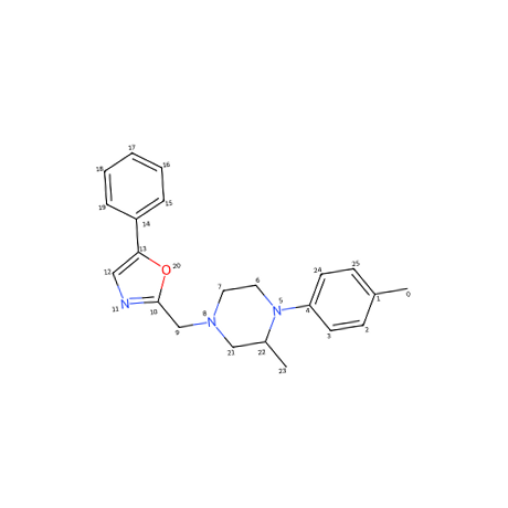 Cc1ccc(N2CCN(Cc3ncc(-c4ccccc4)o3)CC2C)cc1